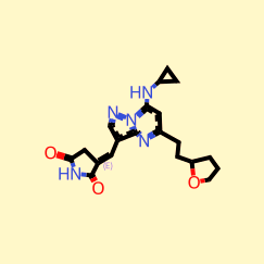 O=C1C/C(=C\c2cnn3c(NC4CC4)cc(CCC4CCCO4)nc23)C(=O)N1